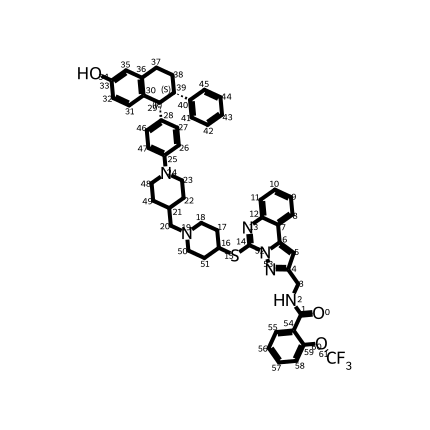 O=C(NCc1cc2c3ccccc3nc(SC3CCN(CC4CCN(c5ccc([C@@H]6c7ccc(O)cc7CC[C@@H]6c6ccccc6)cc5)CC4)CC3)n2n1)c1ccccc1OC(F)(F)F